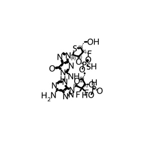 Nc1nc2c(ncn2[C@@H]2S[C@H](CO)[C@H](F)[C@H]2OP(=O)(S)OC[C@H]2O[C@@H](n3nnc4c(N)ncnc43)C(F)(F)[C@@H]2O[PH](=O)O)c(=O)[nH]1